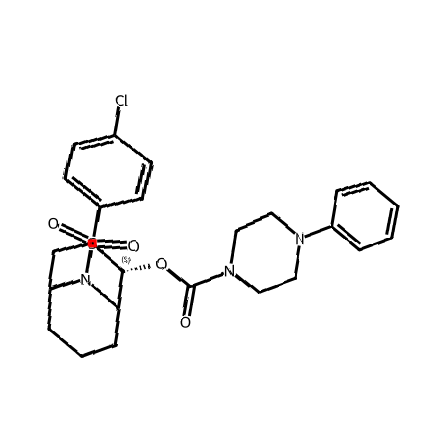 O=C(O[C@H]1CCC2CCCC1N2S(=O)(=O)c1ccc(Cl)cc1)N1CCN(c2ccccc2)CC1